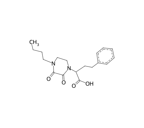 CCCCN1CCN(C(CCc2ccccc2)C(=O)O)C(=O)C1=O